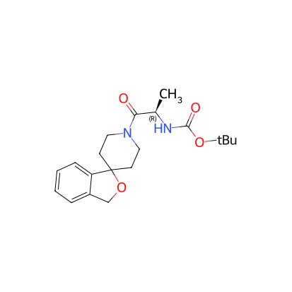 C[C@@H](NC(=O)OC(C)(C)C)C(=O)N1CCC2(CC1)OCc1ccccc12